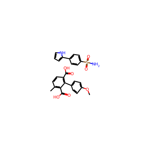 COc1ccc(-c2c(C(=O)O)ccc(C)c2C(=O)O)cc1.NS(=O)(=O)c1ccc(-c2ccc[nH]2)cc1